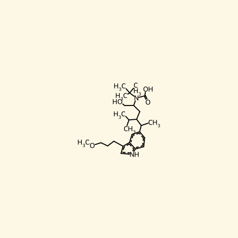 COCCCc1c[nH]c2ccc(C(C)C(CC(CO)N(C(=O)O)C(C)(C)C)C(C)C)cc12